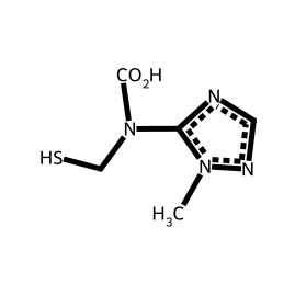 Cn1ncnc1N(CS)C(=O)O